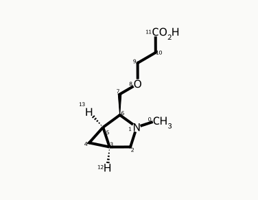 CN1C[C@H]2C[C@H]2[C@H]1COCCC(=O)O